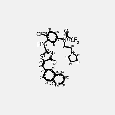 O=C1N=C(Nc2cc(N(CCN3CCCC3)C(=O)C(F)(F)F)ccc2Cl)SC1=Cc1ccc2ncccc2c1